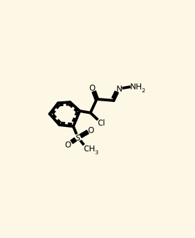 CS(=O)(=O)c1ccccc1C(Cl)C(=O)C=NN